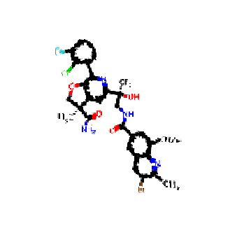 COc1cc(C(=O)NC[C@](O)(c2cc3c(c(-c4cccc(F)c4Cl)n2)OC[C@]3(C)C(N)=O)C(F)(F)F)cc2cc(Br)c(C)nc12